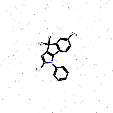 Cc1ccc2c(c1)C(C)(C)c1cc(C)n(-c3ccccc3)c1-2